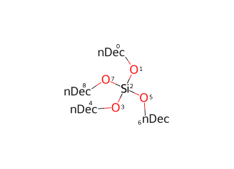 CCCCCCCCCCO[Si](OCCCCCCCCCC)(OCCCCCCCCCC)OCCCCCCCCCC